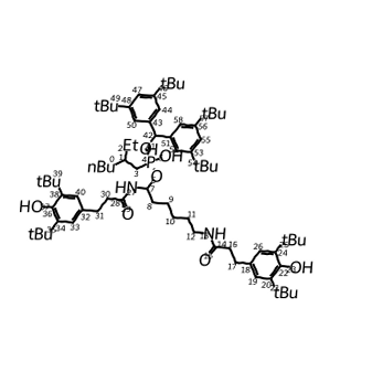 CCCCC(CC)C[PH](O)(OC(CCCCCNC(=O)CCc1cc(C(C)(C)C)c(O)c(C(C)(C)C)c1)NC(=O)CCc1cc(C(C)(C)C)c(O)c(C(C)(C)C)c1)OC(c1cc(C(C)(C)C)cc(C(C)(C)C)c1)c1cc(C(C)(C)C)cc(C(C)(C)C)c1